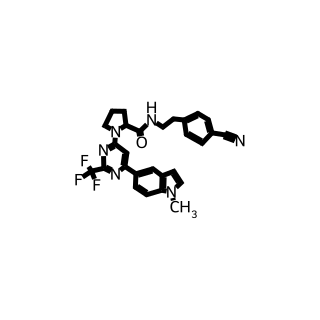 Cn1ccc2cc(-c3cc(N4CCCC4C(=O)NCCc4ccc(C#N)cc4)nc(C(F)(F)F)n3)ccc21